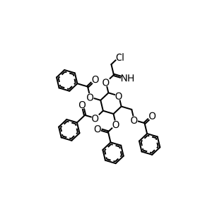 N=C(CCl)OC1OC(COC(=O)c2ccccc2)C(OC(=O)c2ccccc2)C(OC(=O)c2ccccc2)C1OC(=O)c1ccccc1